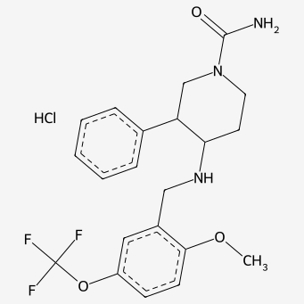 COc1ccc(OC(F)(F)F)cc1CNC1CCN(C(N)=O)CC1c1ccccc1.Cl